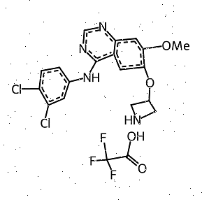 COc1cc2ncnc(Nc3ccc(Cl)c(Cl)c3)c2cc1OC1CNC1.O=C(O)C(F)(F)F